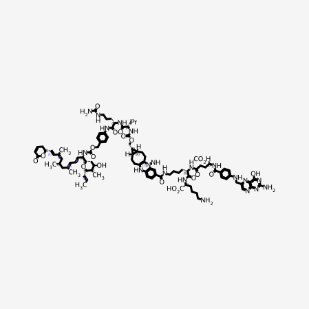 C/C=C/[C@@H]1O[C@H]([C@@H](/C=C/C=C(\C)C[C@@H](C)/C=C(C)\C=C\[C@H]2CC=CC(=O)O2)NC(=O)OCc2ccc(NC(=O)[C@H](CCCNC(N)=O)NC(=O)[C@@H](NC(=O)OC[C@@H]3[C@@H]4CC/C(N=N)=C(/Nc5ccc(C(=O)NCCCC[C@H](NC(=O)CC[C@H](NC(=O)c6ccc(NCc7cnc8nc(N)nc(O)c8n7)cc6)C(=O)O)C(=O)N[C@H](CCCCN)C(=O)O)cc5)CC[C@@H]43)C(C)C)cc2)C[C@@H](O)[C@@H]1C